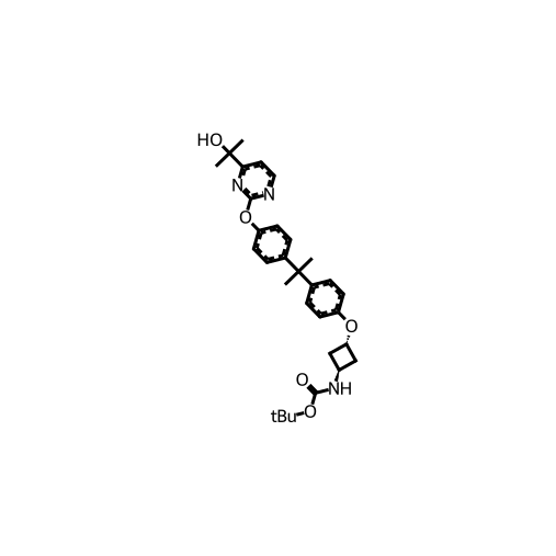 CC(C)(C)OC(=O)N[C@H]1C[C@H](Oc2ccc(C(C)(C)c3ccc(Oc4nccc(C(C)(C)O)n4)cc3)cc2)C1